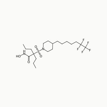 CCCC(CCC)(C(=O)NO)S(=O)(=O)N1CCC(CCCCCC(F)(F)C(F)(F)F)CC1